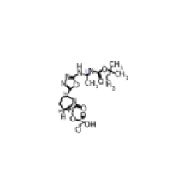 C/C(=N\C(=O)OC(C)(C)C)Nc1nnc([C@@H]2CC[C@@H]3CN2C(=O)N3OS(=O)(=O)O)o1